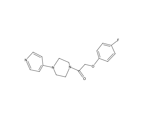 O=C(COc1ccc(F)cc1)N1CCN(c2ccncc2)CC1